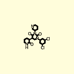 O=c1[nH]cccc1-c1cn(-c2cc(Cl)cc(Cl)c2)c(=O)n(-c2cccnc2)c1=O